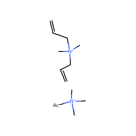 C=CC[N+](C)(C)CC=C.CC(=O)[N+](C)(C)C